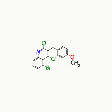 COc1ccc(Cc2c(Cl)nc3cccc(Br)c3c2Cl)cc1